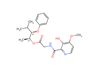 COc1ccnc(C(=O)NCC(=O)O[C@@H](C)[C@H](Oc2ccccc2)C(C)C)c1O